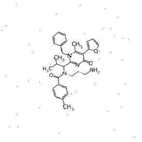 Cc1ccc(C(=O)N(CCCN)C(c2nc(=O)c(-c3ccco3)c(C)n2Cc2ccccc2)C(C)C)cc1